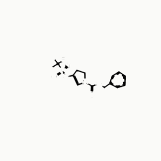 O=C(OCc1ccccc1)N1C=C(OS(=O)(=O)C(F)(F)F)CC1